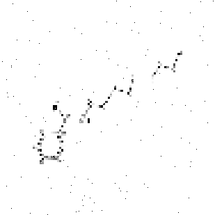 CCCCCCCCONC(O)c1ccccc1